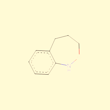 c1ccc2c(c1)CCCON2